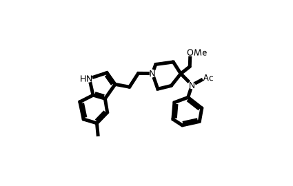 COCC1(N(C(C)=O)c2ccccc2)CCN(CCc2c[nH]c3ccc(C)cc23)CC1